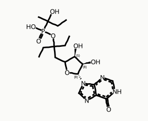 CCC(CC)(CC1O[C@@H](n2cnc3c(=O)[nH]cnc32)[C@H](O)[C@@H]1O)OP(=O)(O)C(C)(O)CC